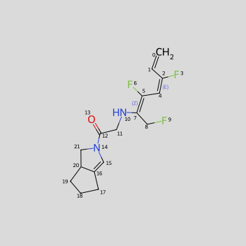 C=C/C(F)=C\C(F)=C(/CF)NCC(=O)N1C=C2CCCC2C1